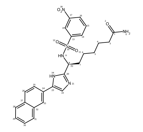 NC(=O)CCCCC[C@H](NS(=O)(=O)c1cccc([N+](=O)[O-])c1)c1ncc(-c2ccc3ccccc3c2)[nH]1